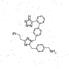 CC(C)CCc1nc(Cc2ccc(CN)cc2)n(Cc2ccc(-c3ccccc3-c3nnn[nH]3)cc2)n1